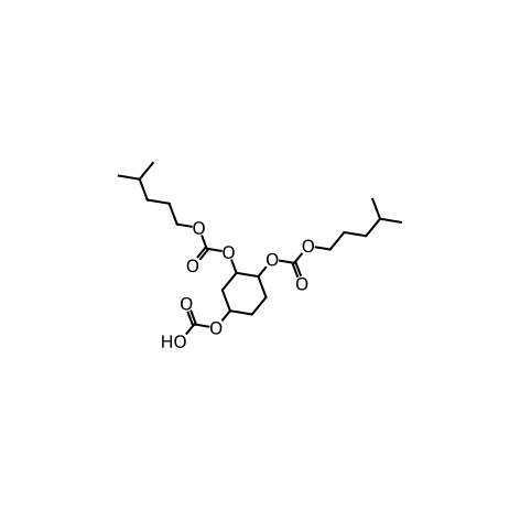 CC(C)CCCOC(=O)OC1CCC(OC(=O)O)CC1OC(=O)OCCCC(C)C